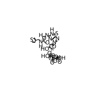 Nc1nc2c(ncn2[C@@H]2O[C@H](COP(=O)(O)OP(=O)(O)OP(=O)(O)O)[C@H](O)C2OCC(=O)NCc2ccsc2)c(=S)[nH]1